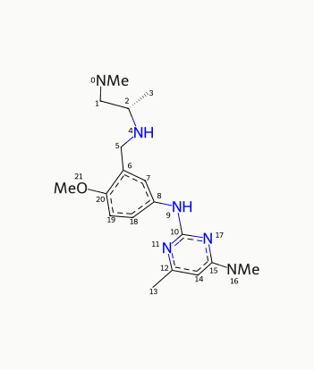 CNC[C@H](C)NCc1cc(Nc2nc(C)cc(NC)n2)ccc1OC